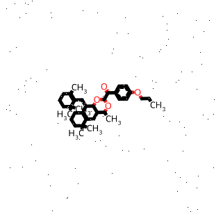 CCCOc1ccc(C(=O)C2OC(C)C3CC4=C(CCCC4(C)C)C(CC4=C(C)CCCC4(C)C)C3O2)cc1